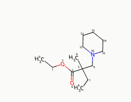 CCOC(=O)C(C)(CC)CN1CCCCC1